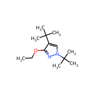 CCOc1nn(C(C)(C)C)cc1C(C)(C)C